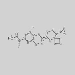 O=C(NO)c1cc(F)c2c(c1)CCN([C@H]1CCN(C3CC3)C3(CCC3)C1)C2